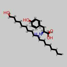 CCCCCCCCCCCCCCCCCCO.NC(Cc1ccc(O)cc1)C(=O)O